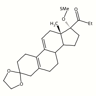 CCC(=O)[C@@]1(OSC)CCC2C3CCC4=C(CCC5(C4)OCCO5)C3=CC[C@@]21C